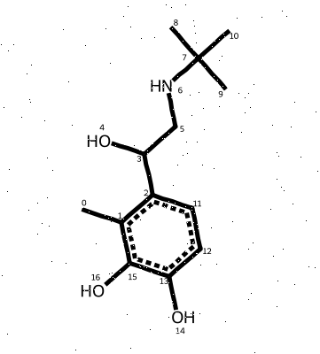 Cc1c(C(O)CNC(C)(C)C)ccc(O)c1O